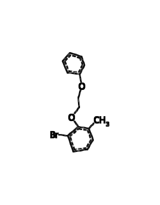 Cc1cccc(Br)c1OCCOc1ccccc1